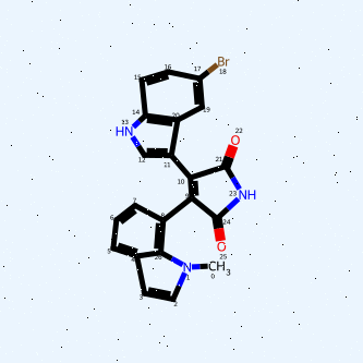 Cn1ccc2cccc(C3=C(c4c[nH]c5ccc(Br)cc45)C(=O)NC3=O)c21